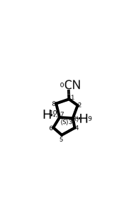 N#CC1C[C@H]2CCC[C@H]2C1